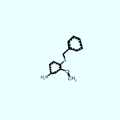 COc1cc(N)ccc1SCc1ccccc1